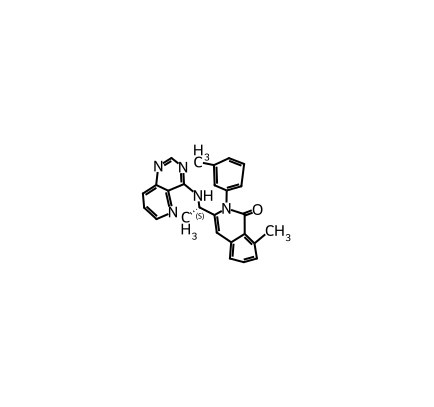 Cc1cccc(-n2c([C@H](C)Nc3ncnc4cccnc34)cc3cccc(C)c3c2=O)c1